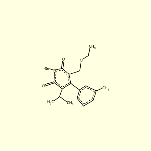 CCOCn1c(-c2cccc(C)c2)c(C(C)C)c(=O)n([Se])c1=O